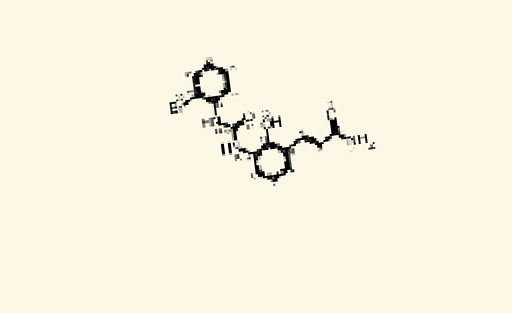 NC(=O)C=Cc1cccc(NC(=O)Nc2ccccc2Br)c1O